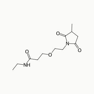 CCNC(=O)CCOCCN1C(=O)CC(C)C1=O